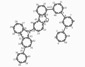 c1ccc(-c2cccc(-c3cccc(-c4cccc5c4oc4ccc(-n6c7ccccc7c7cc(-c8ccccc8)ccc76)cc45)c3)c2)cc1